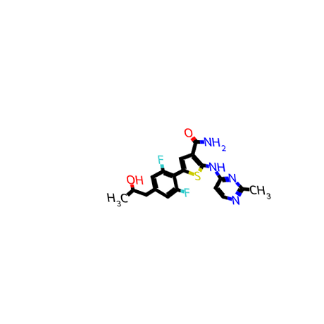 Cc1nccc(Nc2sc(-c3c(F)cc(CC(C)O)cc3F)cc2C(N)=O)n1